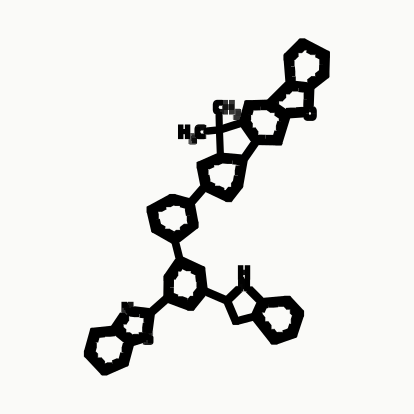 CC1(C)c2cc(-c3cccc(-c4cc(-c5nc6ccccc6s5)cc(C5Cc6ccccc6N5)c4)c3)ccc2-c2cc3oc4ccccc4c3cc21